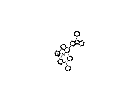 Nc1ccc(-c2ccc3c(c2)c2ccccc2n3-c2ccccc2)c2cccc(-c3cccc(-c4cccc(N(c5ccccc5)c5cccnc5)c4)c3)c12